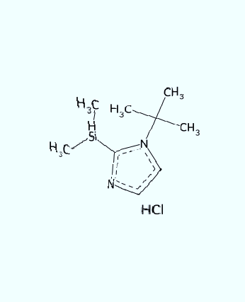 C[SiH](C)c1nccn1C(C)(C)C.Cl